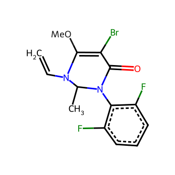 C=CN1C(OC)=C(Br)C(=O)N(c2c(F)cccc2F)C1C